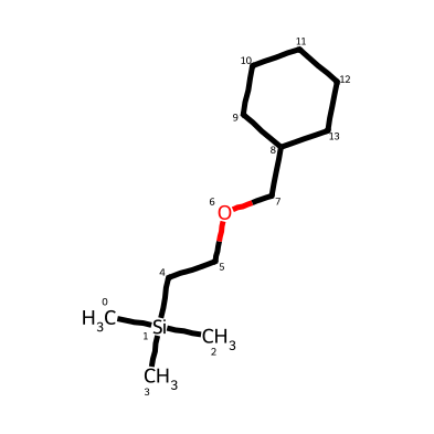 C[Si](C)(C)CCOCC1CCCCC1